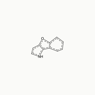 c1ccc2c(c1)oc1cc[nH]c12